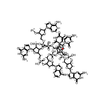 COC1C(OP(=O)(O)OCC2OC(n3cnc4c(N)ncnc43)CC2OC(C)C)C(COP(=O)(O)OC2CC(n3cnc4c(N)ncnc43)OC2COP(=O)(O)OC2CC(n3cc(C)c(=O)[nH]c3=O)OC2COP(=O)(O)OC2CC(n3cnc4c(=O)[nH]c(N)nc43)OC2COP(=O)(O)OC2CC(n3ccc(N)nc3=O)OC2COP(=O)(O)C(C)C)OC1n1cnc2c(=O)[nH]c(N)nc21